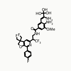 COc1cc(C(=O)NCC(c2cc3c(c(-c4ccc(F)cc4)n2)OCC3(CF)CF)C(F)(F)F)cc(/C=C(\N)C(O)(O)O)c1N